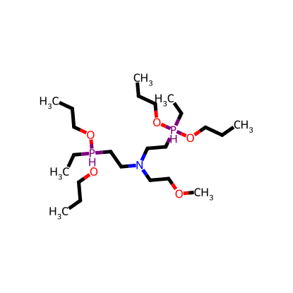 CCCO[PH](CC)(CCN(CCOC)CC[PH](CC)(OCCC)OCCC)OCCC